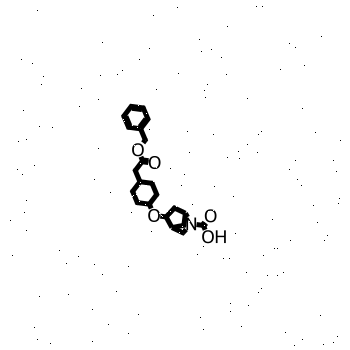 O=C(CC1CCC(OC2CC3CC2CN3C(=O)O)CC1)OCc1ccccc1